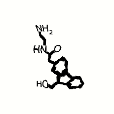 NCCNC(=O)Cc1ccc2c(c1)C(CO)c1ccccc1-2